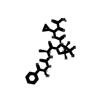 CC(C)[C@H](NC(=O)N[C@H](C(=O)N1C[C@H]2[C@@H]([C@H]1C(=O)NC(C(=O)C(N)=O)C1CC1)C2(Cl)Cl)C(C)(C)C)C(=O)c1ccccc1